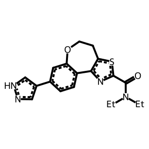 CCN(CC)C(=O)c1nc2c(s1)CCOc1cc(-c3cn[nH]c3)ccc1-2